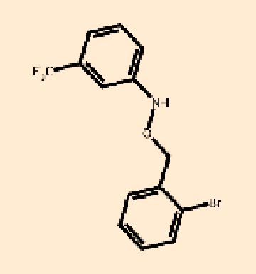 FC(F)(F)c1cccc(NOCc2ccccc2Br)c1